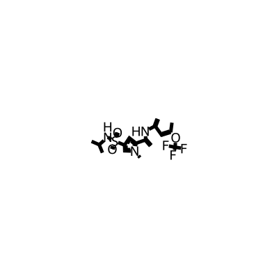 C=C(/C=C(\C)OC(F)(F)F)NC(=C)c1cc(S(=O)(=O)NC(C)C)cn1C